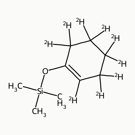 [2H]C1=C(O[Si](C)(C)C)C([2H])([2H])C([2H])([2H])C([2H])([2H])C1([2H])[2H]